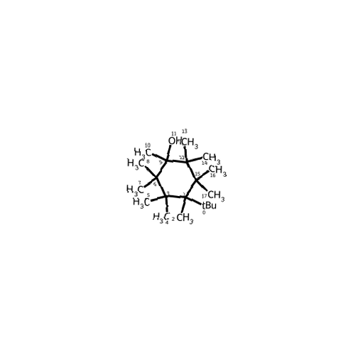 CC(C)(C)C1(C)C(C)(C)C(C)(C)C(C)(O)C(C)(C)C1(C)C